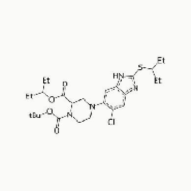 CCC(CC)OC(=O)C1CN(c2cc3[nH]c(SC(CC)CC)nc3cc2Cl)CCN1C(=O)OC(C)(C)C